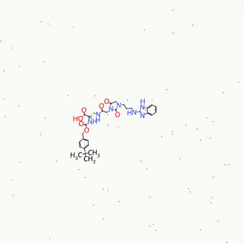 CC(C)(C)c1ccc(COC(=O)N[C@@H](CNC(=O)CN2C(=O)CN(CCCNc3nc4ccccc4[nH]3)C2=O)C(=O)O)cc1